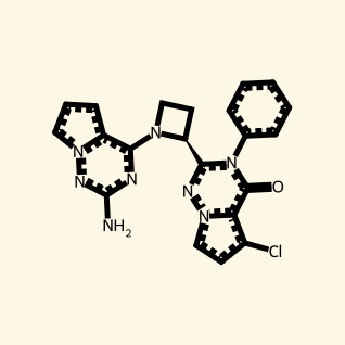 Nc1nc(N2CC[C@H]2c2nn3ccc(Cl)c3c(=O)n2-c2ccccc2)c2cccn2n1